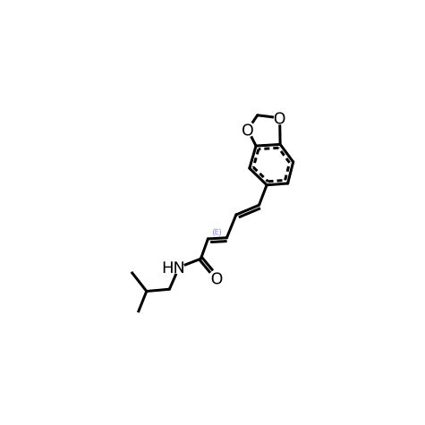 CC(C)CNC(=O)/C=C/C=Cc1ccc2c(c1)OCO2